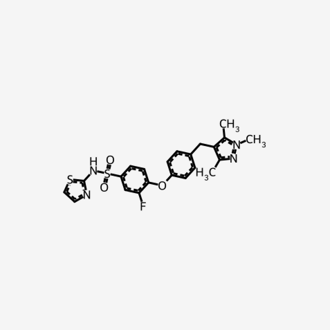 Cc1nn(C)c(C)c1Cc1ccc(Oc2ccc(S(=O)(=O)Nc3nccs3)cc2F)cc1